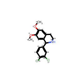 COc1cc2c(cc1OC)C(c1ccc(Cl)c(Cl)c1)NCC2